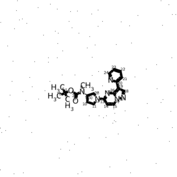 CN(C(=O)OC(C)(C)C)[C@H]1CCN(c2ccn3ncc(-c4ccccn4)c3n2)C1